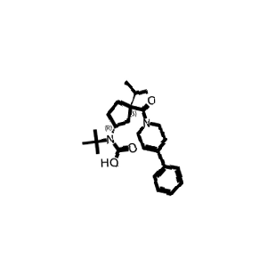 CC(C)[C@]1(C(=O)N2CC=C(c3ccccc3)CC2)CC[C@@H](N(C(=O)O)C(C)(C)C)C1